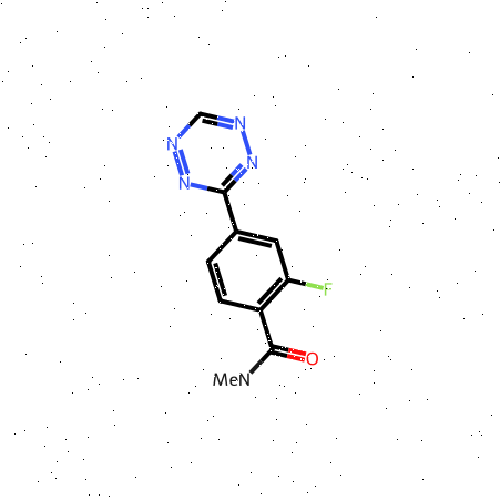 CNC(=O)c1ccc(-c2nncnn2)cc1F